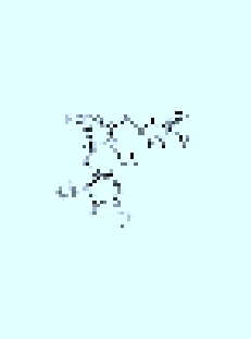 Cc1ncc(C[n+]2csc(CCOP(=O)(O)O)c2C)c(N)n1.Cl